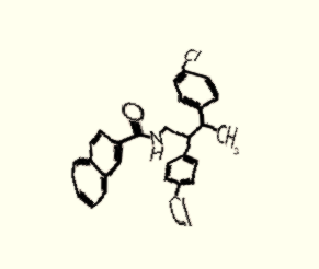 CC(c1ccc(Cl)cc1)C(CNC(=O)c1ccc2ccccc2c1)c1ccc(Cl)cc1